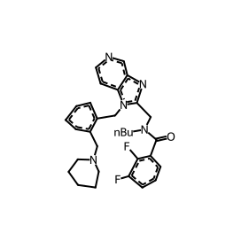 CCCCN(Cc1nc2cnccc2n1Cc1ccccc1CN1CCCCC1)C(=O)c1cccc(F)c1F